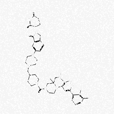 C[C@@H]1CC(CN2CCN(c3ccc4c(c3)C(=O)N([C@H]3CCC(=O)NC3=O)C4)CC2)C[C@H](C)N1C(=O)N1CCN2c3cc(-c4cccc(F)c4O)nnc3NCC2(C)C1